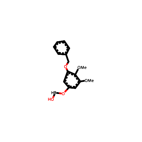 COc1cc(OBO)cc(OCc2ccccc2)c1OC